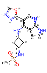 CCCS(=O)(=O)N[C@H]1C[C@@H](Nc2c(-c3nnco3)cnc3[nH]ccc23)C1